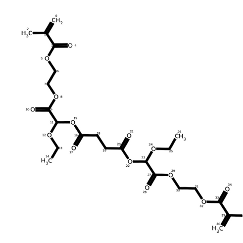 C=C(C)C(=O)OCCOC(=O)C(OCC)OC(=O)CCC(=O)OC(OCC)C(=O)OCCOC(=O)C(=C)C